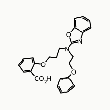 O=C(O)c1ccccc1OCCCN(CCOc1ccccc1)c1nc2ccccc2o1